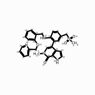 Cn1cc(-c2cc(CS(C)(=O)=O)ccc2NCc2ccccc2OCc2ccccn2)c2cc[nH]c2c1=O